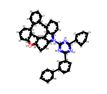 c1ccc(-c2cccc(-c3nc(-c4ccccc4)nc(-n4c5cccc6c7ccccc7c7cccc8oc9ccc4c(c9c87)c65)n3)c2)cc1